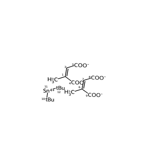 C/C(=C/C(=O)[O-])C(=O)[O-].C/C(=C/C(=O)[O-])C(=O)[O-].C[C](C)(C)[Sn+4][C](C)(C)C